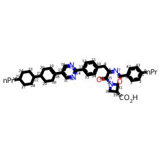 CCCc1ccc(C(=O)/N=C(/Cc2ccc(-c3ncc(C4=CCC(C5CCC(CCC)CC5)CC4)cn3)cc2)C(=O)N2CC(C(=O)O)C2)cc1